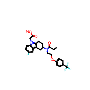 CCC(=O)N(CCOc1ccc(C(F)(F)F)cc1)C1CCc2c(c3cc(F)ccc3n2CC(=O)O)C1